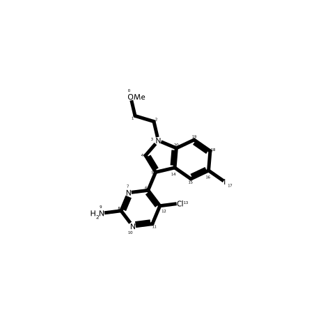 COCCn1cc(-c2nc(N)ncc2Cl)c2cc(I)ccc21